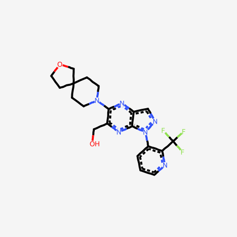 OCc1nc2c(cnn2-c2cccnc2C(F)(F)F)nc1N1CCC2(CCOC2)CC1